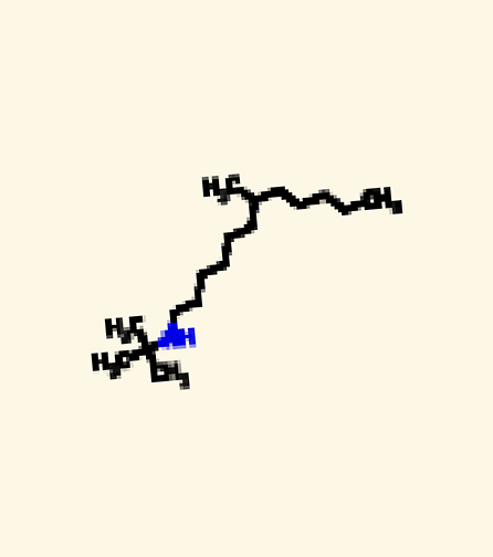 CCCCCC(C)CCCCCCNC(C)(C)C